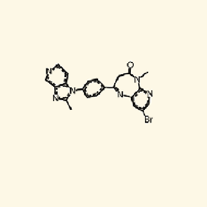 Cc1nc2cnccc2n1-c1ccc(C2=Nc3cc(Br)cnc3N(C)C(=O)C2)cc1